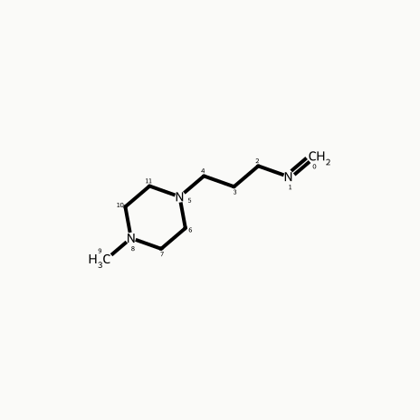 C=NCCCN1CCN(C)CC1